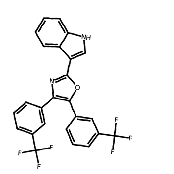 FC(F)(F)c1cccc(-c2nc(-c3c[nH]c4ccccc34)oc2-c2cccc(C(F)(F)F)c2)c1